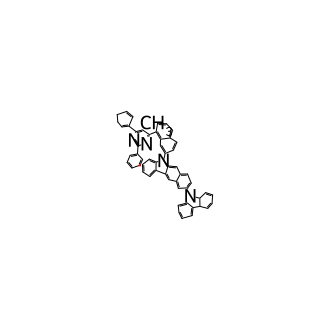 Cc1c(C2=CCCC=C2)nc(-c2ccccc2)nc1-c1cccc2ccc(-n3c4ccccc4c4cc5cc(N6c7ccccc7C7C=CC=CC76)ccc5cc43)cc12